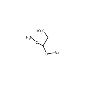 CC(C)(C)OC(CN)CC(=O)O